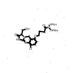 CCCCCCN(CCCCCC)C(=O)CCCOc1ccc(Cl)c2c1CN1C(=N2)NC(=O)C1CO